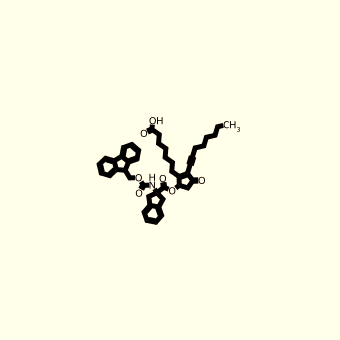 CCCCCCC#CC1=C(CCCCCCC(=O)O)C(OC(=O)C2(NC(=O)OCC3c4ccccc4-c4ccccc43)Cc3ccccc3C2)CC1=O